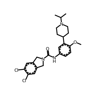 COc1ccc(NC(=O)N2Cc3cc(Cl)c(Cl)cc3C2)cc1C1CCN(C(C)C)CC1